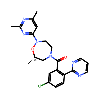 Cc1cc(N2CCN(C(=O)c3cc(Cl)ccc3-c3ncccn3)C[C@H](C)O2)nc(C)n1